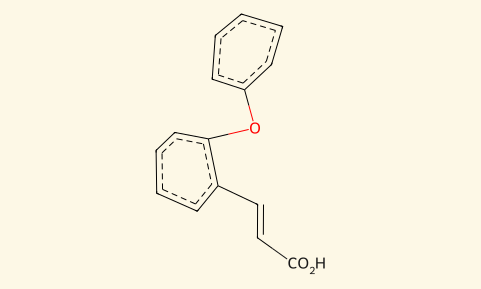 O=C(O)C=Cc1ccccc1Oc1ccccc1